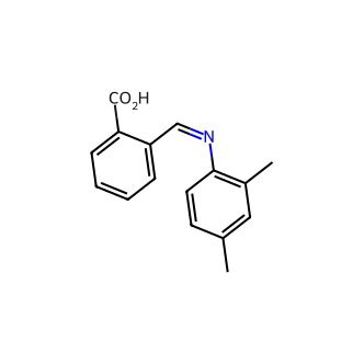 Cc1ccc(/N=C\c2ccccc2C(=O)O)c(C)c1